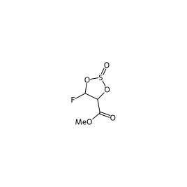 COC(=O)C1OS(=O)OC1F